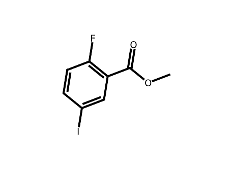 COC(=O)c1cc(I)ccc1F